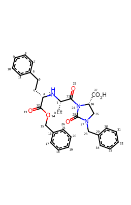 CC[C@H](N[C@@H](CCc1ccccc1)C(=O)OCc1ccccc1)C(=O)N1C(=O)N(Cc2ccccc2)C[C@H]1C(=O)O